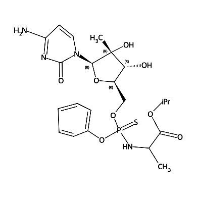 CC(C)OC(=O)C(C)NP(=S)(OC[C@H]1O[C@@H](n2ccc(N)nc2=O)[C@](C)(O)[C@@H]1O)Oc1ccccc1